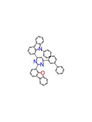 c1ccc(-c2cccc(-c3cc(-c4cccc5c6ccccc6n(-c6ccccc6)c45)nc(-c4cccc5c4oc4ccccc45)n3)c2)cc1